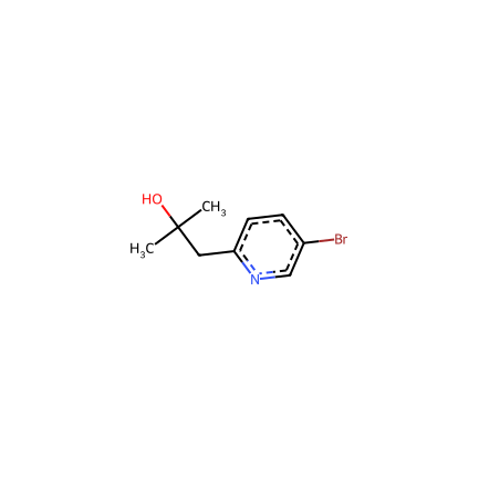 CC(C)(O)Cc1ccc(Br)cn1